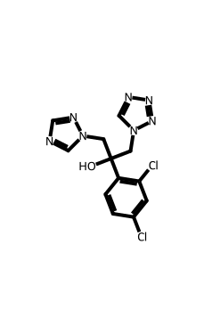 OC(Cn1cncn1)(Cn1cnnn1)c1ccc(Cl)cc1Cl